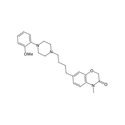 COc1ccccc1N1CCN(CCCCc2ccc3c(c2)OCC(=O)N3C)CC1